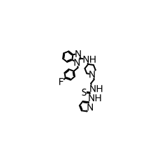 Fc1ccc(Cn2c(NC3CCN(CCNC(=S)Nc4ccccn4)CC3)nc3ccccc32)cc1